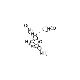 CC1(C)c2cc(N3CCN(C4COC4)CC3)c(CCCN3CCN(C4COC4)CC3)cc2C(=O)c2c1[nH]c1cc(N)ccc21